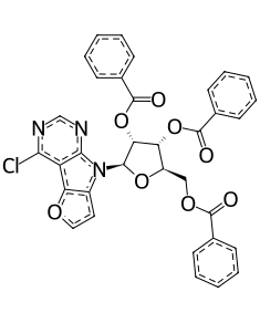 O=C(OC[C@H]1O[C@@H](n2c3ccoc3c3c(Cl)ncnc32)[C@H](OC(=O)c2ccccc2)[C@@H]1OC(=O)c1ccccc1)c1ccccc1